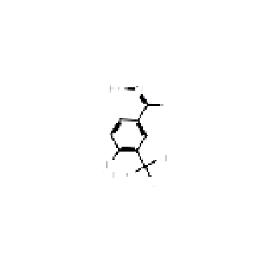 Bc1ccc(/C(Cl)=N\O)cc1C(C)(C)O